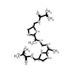 C=C(C)C(=O)OCC1CSC(C(C)SCSC(C)C2SCC(COC(=O)C(=C)C)S2)S1